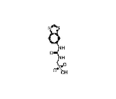 O=C(NCS(=O)(=O)O)Nc1ccc2ncsc2c1